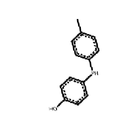 Cc1ccc(Pc2ccc(O)cc2)cc1